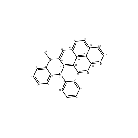 CN1c2ccccc2B(c2ccccc2)c2c1cc1ccc3cccc4ccc2c1c34